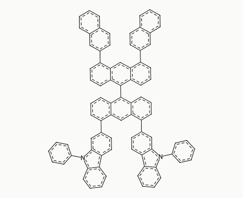 c1ccc(-n2c3ccccc3c3ccc(-c4cccc5c(-c6c7cccc(-c8ccc9ccccc9c8)c7cc7c(-c8ccc9ccccc9c8)cccc67)c6cccc(-c7ccc8c9ccccc9n(-c9ccccc9)c8c7)c6cc45)cc32)cc1